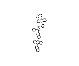 c1ccc(-c2sc(-c3cccc(-c4c5ccccc5c(-c5cccc6ccccc56)c5ccccc45)c3)cc2-c2ccc3cc(-c4c5ccccc5c(-c5ccc6ccccc6c5)c5ccccc45)ccc3c2)cc1